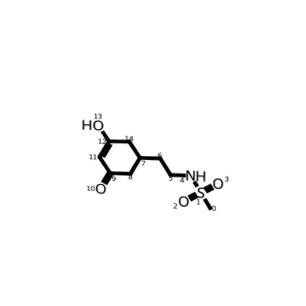 CS(=O)(=O)NCCC1CC(=O)C=C(O)C1